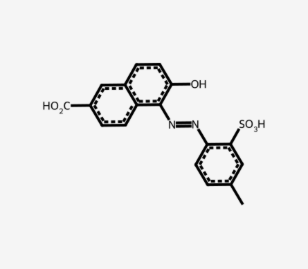 Cc1ccc(N=Nc2c(O)ccc3cc(C(=O)O)ccc23)c(S(=O)(=O)O)c1